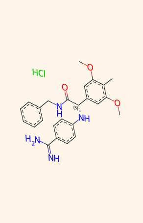 COc1cc([C@H](Nc2ccc(C(=N)N)cc2)C(=O)NCc2ccccc2)cc(OC)c1C.Cl